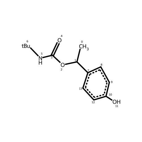 CC(OC(=O)NC(C)(C)C)c1ccc(O)cc1